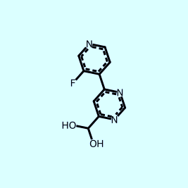 OC(O)c1cc(-c2ccncc2F)ncn1